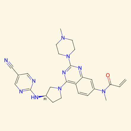 C=CC(=O)N(C)c1ccc2c(N3CC[C@@H](Nc4ncc(C#N)cn4)C3)nc(N3CCN(C)CC3)nc2c1